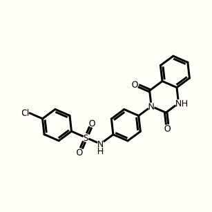 O=c1[nH]c2ccccc2c(=O)n1-c1ccc(NS(=O)(=O)c2ccc(Cl)cc2)cc1